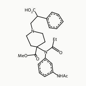 CCC(=O)N(c1cccc(NC(C)=O)c1)C1(C(=O)OC)CCN(CC(C(=O)O)c2ccccc2)CC1